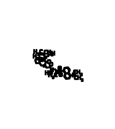 CN(C)c1cccc2c(S(=O)(=O)N(C)CN(O)C(=O)C[C@@H](CC3CCCC3)C(=O)N[C@H](CO)C(C)(C)C)cccc12